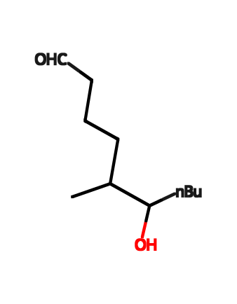 CCCCC(O)C(C)CCCC=O